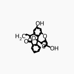 C=CC(=O)c1cc(O)cc2c1C1(OC(=O)c3ccccc31)c1ccc(O)cc1O2